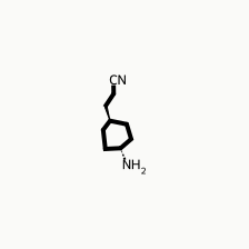 N#CCC[C@H]1CC[C@H](N)CC1